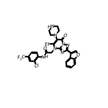 CCc1c(N2CCNCC2)c(=O)n2nc(-c3coc4ccccc34)nc2n1CC(=O)Nc1ccc(C(F)(F)F)cc1Cl